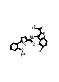 COc1ccccc1-c1ccc(C(=O)Nc2c(C(N)=O)oc3ccc(F)cc23)o1